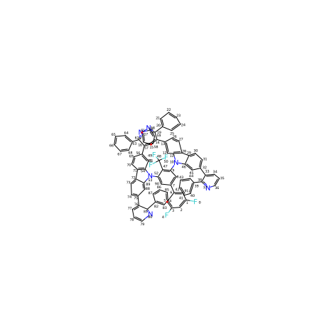 Fc1cc(F)cc(-c2cc(-n3c4cc(-c5cccnc5-c5ccccc5)ccc4c4ccc(-c5cccnc5-c5ccccc5)cc43)c(C(F)(F)F)c(-n3c4cc(-c5cccnc5-c5ccccc5)ccc4c4ccc(-c5cccnc5-c5ccccc5)cc43)c2)c1